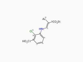 CCOC(=O)C(=CNc1cccc(C(=O)O)c1Cl)C(C)=O